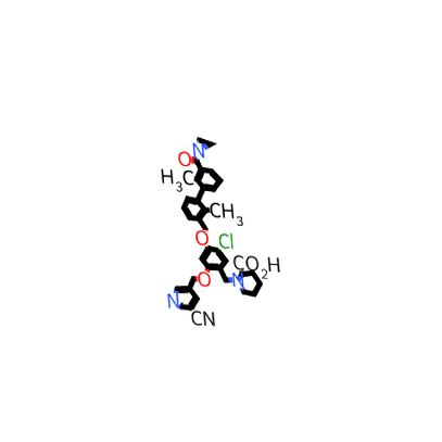 Cc1c(COc2cc(OCc3cncc(C#N)c3)c(CN3CCCCC3C(=O)O)cc2Cl)cccc1-c1cccc(C(=O)N2CC2)c1C